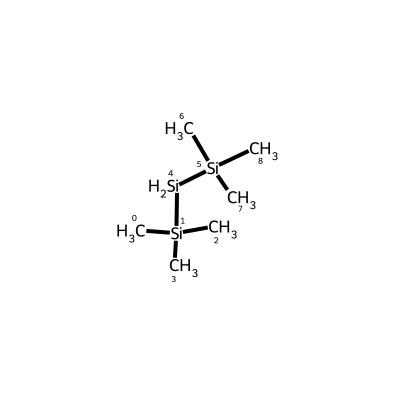 C[Si](C)(C)[SiH2][Si](C)(C)C